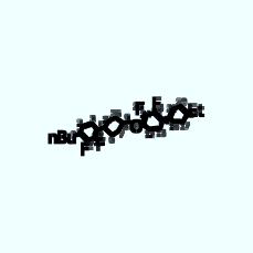 CCCCc1ccc(C2CCC(COc3ccc(-c4ccc(CC)cc4)c(F)c3F)CC2)c(F)c1F